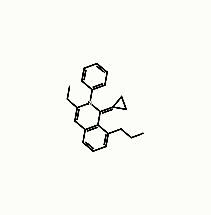 CCCc1cccc2c1C(=C1CC1)N(c1ccccc1)C(CC)=C2